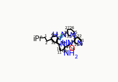 CC(C)CCc1ccc(F)c(-c2ccc(N)c(C(=O)Nc3cnccc3N3CCC[C@H](N)C3)n2)c1